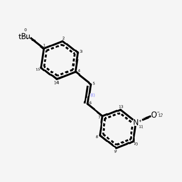 CC(C)(C)c1ccc(/C=C/c2ccc[n+]([O-])c2)cc1